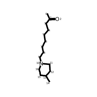 CC(=O)CCCCCCCN1CCC(C)CC1